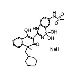 CC1(CC2CCCCC2)C(=O)C(C2=NS(O)(O)c3cc(NS(C)(=O)=O)ccc3N2)=C(O)c2ccccc21.[NaH]